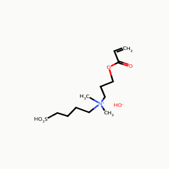 C=CC(=O)OCCC[N+](C)(C)CCCCS(=O)(=O)O.[OH-]